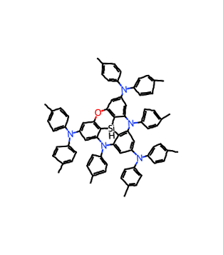 Cc1ccc(N(c2ccc(C)cc2)c2cc3c4c(c2)N(c2ccc(C)cc2)c2cc(N(c5ccc(C)cc5)c5ccc(C)cc5)cc5c2[SiH]4c2c(cc(N(c4ccc(C)cc4)c4ccc(C)cc4)cc2N5c2ccc(C)cc2)O3)cc1